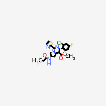 CCC(=O)N[C@H]1CC2=C(C(=O)OC)[C@H](c3ccc(F)cc3Cl)N=C(c3nccs3)N2C1